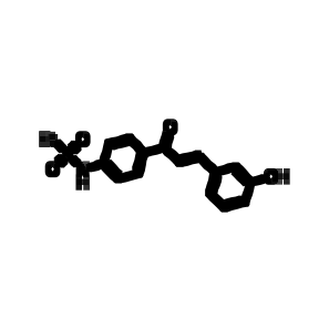 CCS(=O)(=O)Nc1ccc(C(=O)/C=C/c2cccc(O)c2)cc1